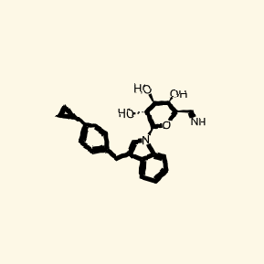 N=C[C@H]1O[C@@H](n2cc(Cc3ccc(C4CC4)cc3)c3ccccc32)[C@H](O)[C@@H](O)[C@@H]1O